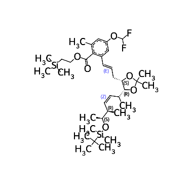 Cc1cc(OC(F)F)cc(/C=C/C[C@@H]2OC(C)(C)O[C@@H]2C(C)/C=C\[C@@H](C)[C@H](C)O[Si](C)(C)C(C)(C)C)c1C(=O)OCC[Si](C)(C)C